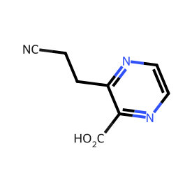 N#CCCc1nccnc1C(=O)O